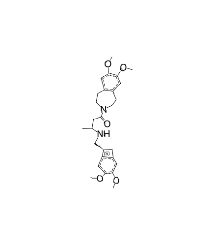 COc1cc2c(cc1OC)CCN(C(=O)CC(C)NC[C@H]1Cc3cc(OC)c(OC)cc31)CC2